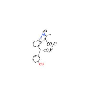 CCOC(=O)c1c(C)n(C(C)C)c2cccc(C(C(=O)O)c3cccc(O)c3)c12